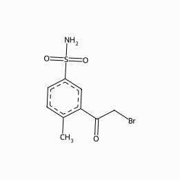 Cc1ccc(S(N)(=O)=O)cc1C(=O)CBr